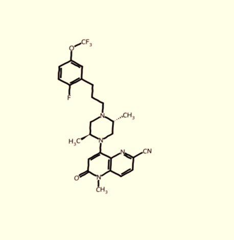 C[C@@H]1CN(c2cc(=O)n(C)c3ccc(C#N)nc23)[C@@H](C)CN1CCCc1cc(OC(F)(F)F)ccc1F